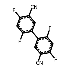 N#Cc1cc(-c2cc(C#N)c(F)cc2F)c(F)cc1F